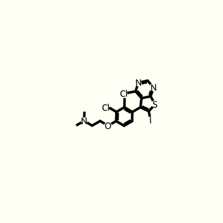 Cc1c(-c2c(I)sc3ncnc(Cl)c23)ccc(OCCN(C)C)c1Cl